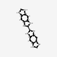 c1nc2cc3oc(-c4nc5cc6ncoc6cc5o4)nc3cc2o1